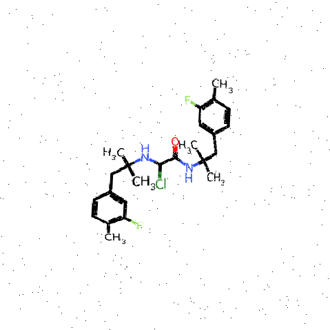 Cc1ccc(CC(C)(C)NC(=O)C(Cl)NC(C)(C)Cc2ccc(C)c(F)c2)cc1F